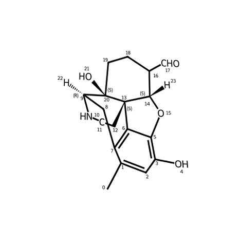 Cc1cc(O)c2c3c1C[C@H]1NCC[C@@]34[C@@H](O2)C(C=O)CC[C@@]14O